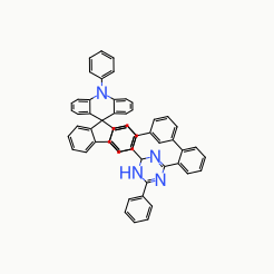 c1ccc(C2=NC(c3ccccc3-c3cccc(-c4ccc5c(c4)C4(c6ccccc6-5)c5ccccc5N(c5ccccc5)c5ccccc54)c3)=NC(c3ccccc3)N2)cc1